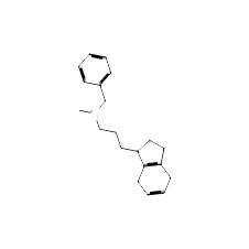 CN(CCCC1CCC2=C1CC=CC2)Cc1ccccc1